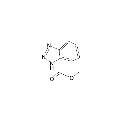 COC=O.c1ccc2[nH]nnc2c1